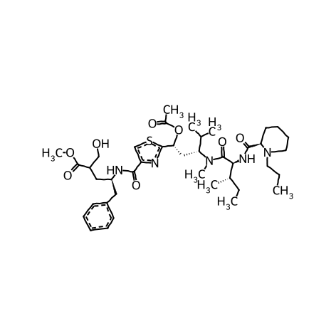 CCCN1CCCC[C@@H]1C(=O)N[C@H](C(=O)N(C)[C@H](C[C@@H](OC(C)=O)c1nc(C(=O)N[C@@H](Cc2ccccc2)CC(CO)C(=O)OC)cs1)C(C)C)[C@@H](C)CC